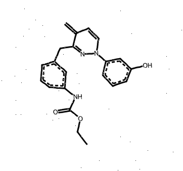 C=C1C=CN(c2cccc(O)c2)N=C1Cc1cccc(NC(=O)OCC)c1